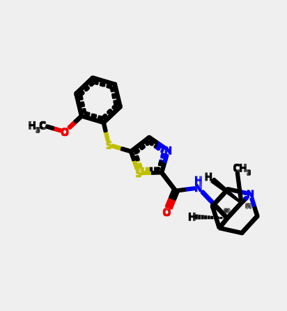 COc1ccccc1Sc1cnc(C(=O)N[C@@H]2C3CCN(CC3)[C@H]2C)s1